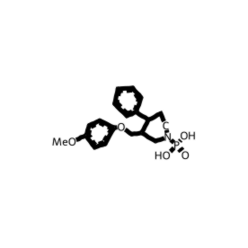 COc1ccc(OCC2CN(P(=O)(O)O)CCC2c2ccccc2)cc1